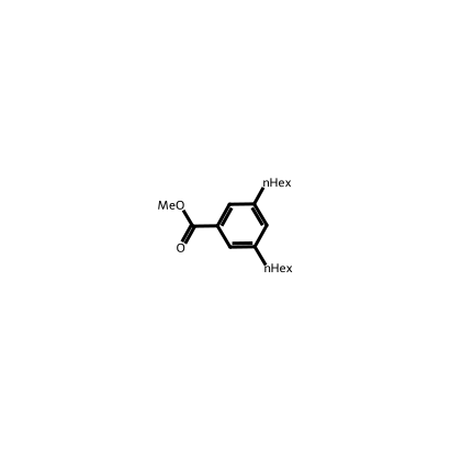 CCCCCCc1cc(CCCCCC)cc(C(=O)OC)c1